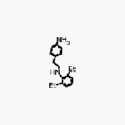 CCc1cccc(CC)c1NCCc1ccc(N)cc1